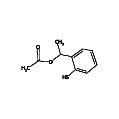 CC(=O)OC(C)c1ccccc1S